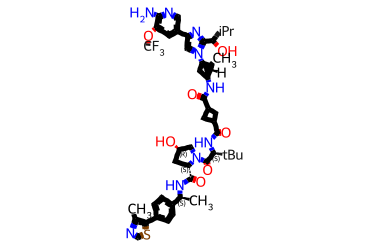 Cc1ncsc1-c1ccc([C@H](C)NC(=O)[C@@H]2C[C@@H](O)CN2C(=O)[C@@H](NC(=O)C2CC(C(=O)NC34CC(n5cc(-c6cnc(N)c(OC(F)(F)F)c6)nc5C(O)C(C)C)(C3)[C@@H]4C)C2)C(C)(C)C)cc1